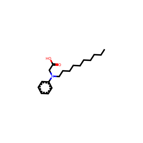 CCCCCCCCCCN(CC(=O)O)c1ccccc1